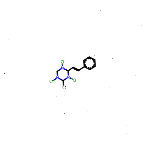 CCC1N(Cl)CN(Cl)C(C=Cc2ccccc2)N1Cl